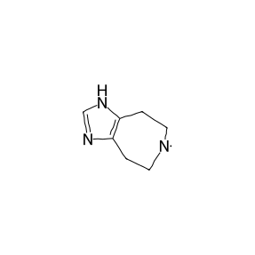 c1nc2c([nH]1)CC[N]CC2